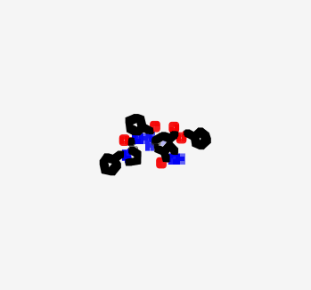 O=C(/C=C/[C@H](CC1CCNC1=O)NC(=O)c1ccccc1NC(=O)[C@@H]1CCCN1Cc1ccccc1)OCc1ccccc1